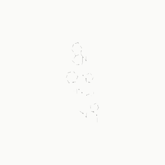 O=C(NC1c2cccc(-c3cnc4ccccc4c3)c2-n2cccc21)C1CC=Nc2[nH]ccc21